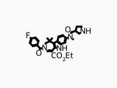 CCOC(=O)C1=CN(C(=O)c2ccc(F)cc2)CC(C)(C)c2c1[nH]c1cc(N(C)C(=O)C3CCNC3)ccc21